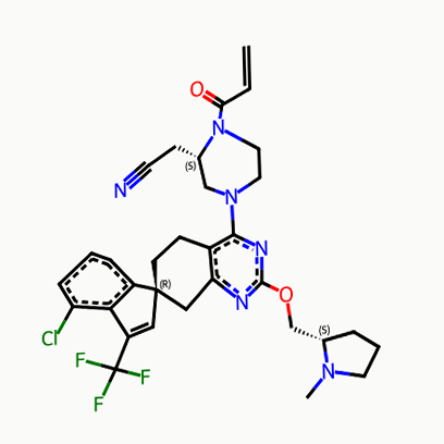 C=CC(=O)N1CCN(c2nc(OC[C@@H]3CCCN3C)nc3c2CC[C@]2(C=C(C(F)(F)F)c4c(Cl)cccc42)C3)C[C@@H]1CC#N